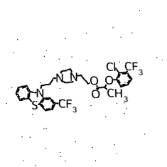 CC(Oc1cccc(C(F)(F)F)c1Cl)C(=O)OCCN1CCN(CCCN2c3ccccc3Sc3ccc(C(F)(F)F)cc32)CC1